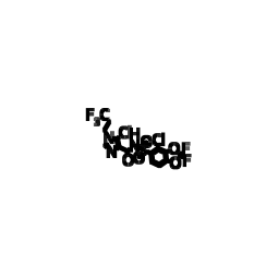 O=C(NS(=O)(=O)c1ccc2c(c1Cl)OC(F)(F)O2)c1ncn(CCC(F)(F)F)c1Cl